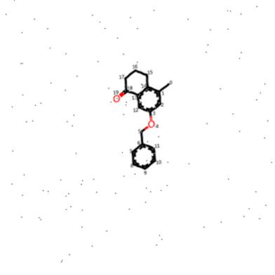 Cc1cc(OCc2ccccc2)cc2c1CCCC2=O